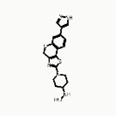 CC(C)(C)NC1CCN(c2nc3c(s2)-c2ccc(-c4cn[nH]c4)cc2OC3)CC1